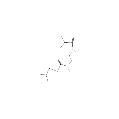 C=C(NCCN(C)C(=C)CCC(C)C)C(C)C